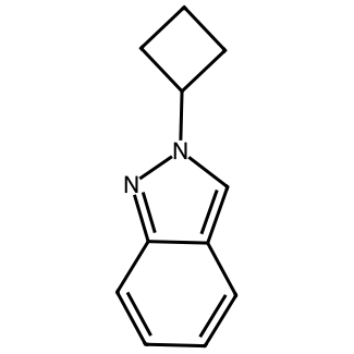 c1ccc2nn(C3CCC3)cc2c1